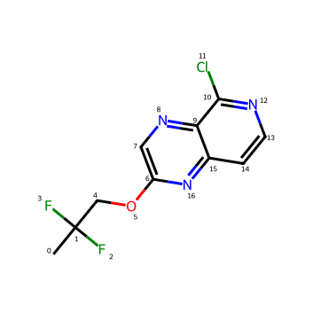 CC(F)(F)COc1cnc2c(Cl)nccc2n1